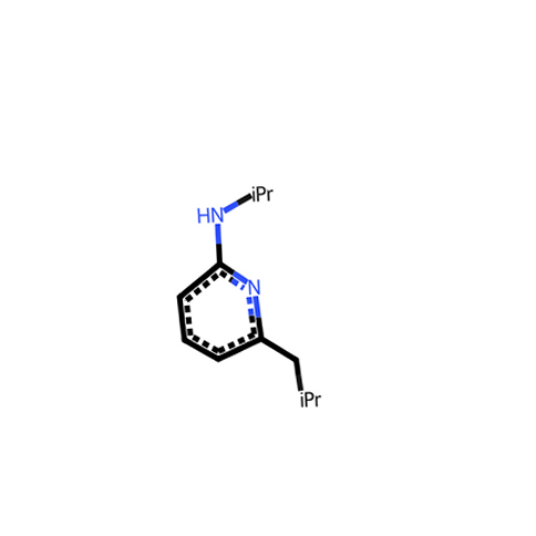 CC(C)Cc1cccc(NC(C)C)n1